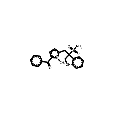 Cn1c(CC(CO)(c2ccccc2)S(N)(=O)=O)ccc1C(=O)c1ccccc1